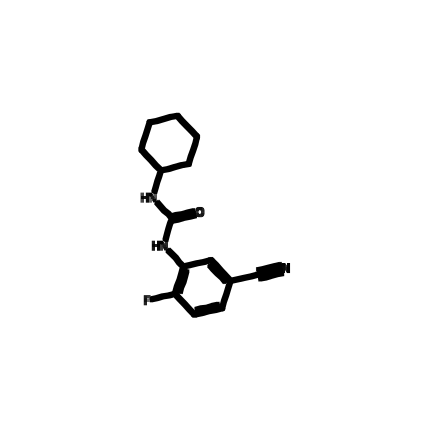 N#Cc1ccc(F)c(NC(=O)NC2CCCCC2)c1